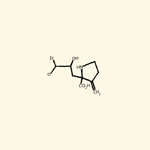 C=C1CCNC1(CC(O)C(Cl)CC)C(=O)O